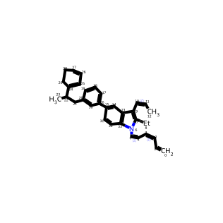 C=C/C=C\C=C/n1c(CC)c(/C=C\C)c2cc(-c3cccc(CC(C)C4=CC=CCC4)c3)ccc21